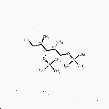 C[C@H](CO)[C@@H](O[Si](C)(C)C(C)(C)C)[C@H](C)CO[Si](C)(C)C(C)(C)C